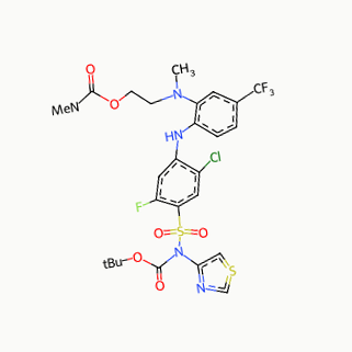 CNC(=O)OCCN(C)c1cc(C(F)(F)F)ccc1Nc1cc(F)c(S(=O)(=O)N(C(=O)OC(C)(C)C)c2cscn2)cc1Cl